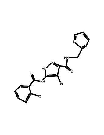 O=C(Nc1[nH]nc(C(=O)NCc2ccccn2)c1Br)c1ccccc1Cl